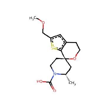 COCc1cc2c(s1)[C@]1(CCN(C(=O)O)[C@@H](C)C1)OCC2